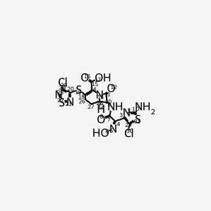 Nc1nc(/C(=N/O)C(=O)N[C@@H]2C(=O)N3C(C(=O)O)=C(Sc4nsnc4Cl)CC[C@H]23)c(Cl)s1